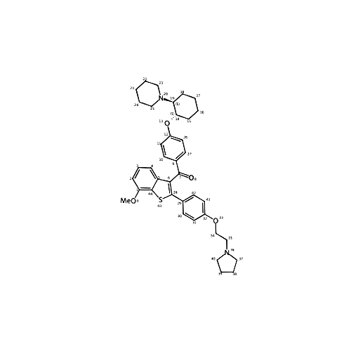 COc1cccc2c(C(=O)c3ccc(O[C@H]4CCCC[C@@H]4N4CCCCC4)cc3)c(-c3ccc(OCCN4CCCC4)cc3)sc12